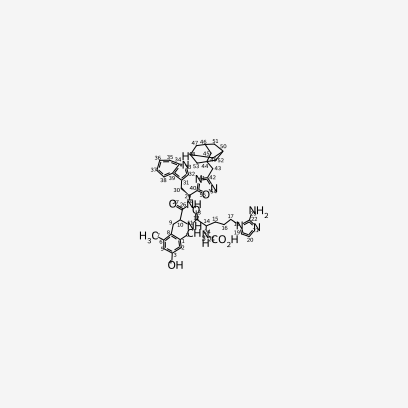 Cc1cc(O)cc(C)c1CC(NC(=O)C(CCCn1ccnc1N)NC(=O)O)C(=O)N[C@@H](Cc1c[nH]c2ccccc12)c1nc(CC23CC4CC(CC(C4)C2)C3)no1